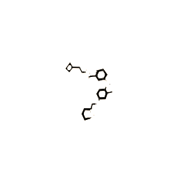 Cc1cc(OCc2ccccn2)ccc1Nc1cccc(C(=O)NCCC2CCC2)c1